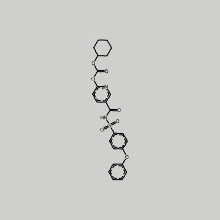 O=C(Oc1ccc(C(=O)NS(=O)(=O)c2ccc(Oc3ccccc3)cc2)cn1)OC1CCCCC1